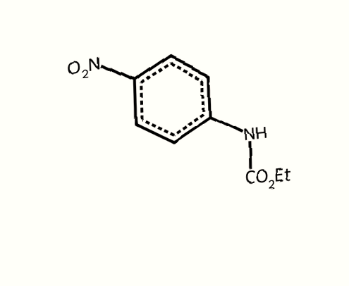 C[CH]OC(=O)Nc1ccc([N+](=O)[O-])cc1